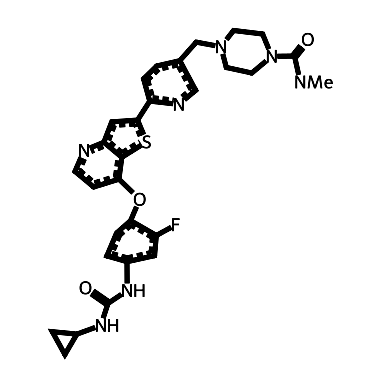 CNC(=O)N1CCN(Cc2ccc(-c3cc4nccc(Oc5ccc(NC(=O)NC6CC6)cc5F)c4s3)nc2)CC1